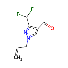 C=CCn1cc(C=O)c(C(F)F)n1